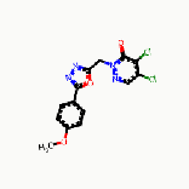 COc1ccc(-c2nnc(Cn3ncc(Cl)c(Cl)c3=O)o2)cc1